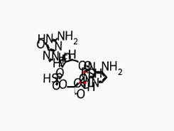 Nc1nc2c(ncn2[C@@H]2O[C@@H]3COP(=O)(S)O[C@H]4[C@H]5OC[C@]4(COP(=O)(S)O[C@@H]2[C@@H]3F)O[C@H]5n2cnc3c(N)ccnc32)c(=O)[nH]1